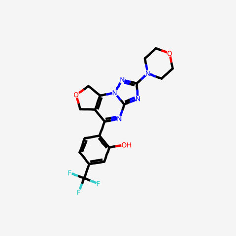 Oc1cc(C(F)(F)F)ccc1-c1nc2nc(N3CCOCC3)nn2c2c1COC2